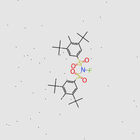 Cc1c(C(C)(C)C)cc(S(=O)(=O)N(F)S(=O)(=O)c2cc(C(C)(C)C)c(C)c(C(C)(C)C)c2)cc1C(C)(C)C